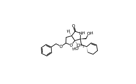 C[C@]12OC(OCc3ccccc3)C[C@H]1C(=O)N[C@]2(CO)[C@@H](O)[C@@H]1C=CCCC1